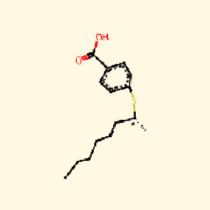 CCCCCC[C@@H](C)Sc1ccc(C(=O)O)cc1